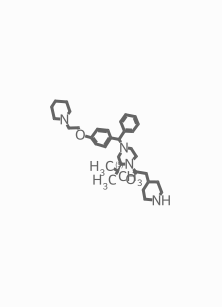 CC(C)(C)[C@H]1CN(C(c2ccccc2)c2ccc(OCCN3CCCCC3)cc2)CCN1C(=O)CC1CCNCC1